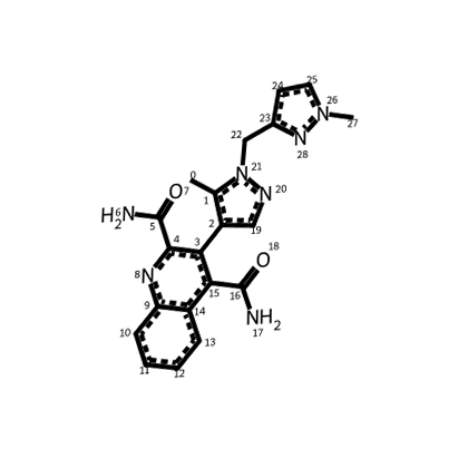 Cc1c(-c2c(C(N)=O)nc3ccccc3c2C(N)=O)cnn1Cc1ccn(C)n1